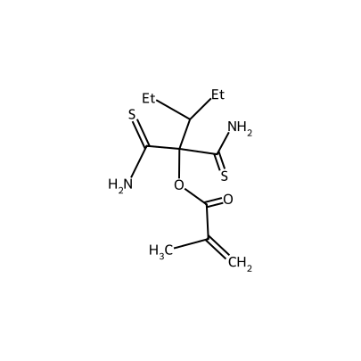 C=C(C)C(=O)OC(C(N)=S)(C(N)=S)C(CC)CC